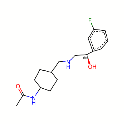 CC(=O)NC1CCC(CNC[C@H](O)c2cccc(F)c2)CC1